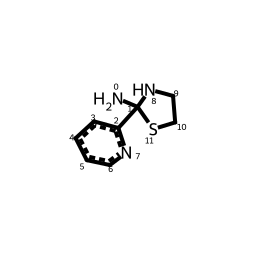 NC1(c2ccccn2)NCCS1